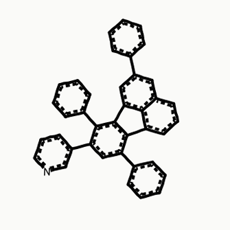 c1ccc(-c2cc3c4c(cccc4c2)-c2c(-c4ccccc4)cc(-c4cccnc4)c(-c4ccccc4)c2-3)cc1